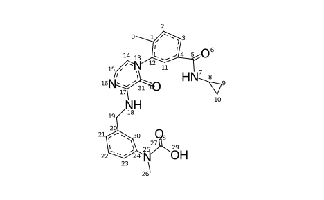 Cc1ccc(C(=O)NC2CC2)cc1-n1ccnc(NCc2cccc(N(C)C(=O)O)c2)c1=O